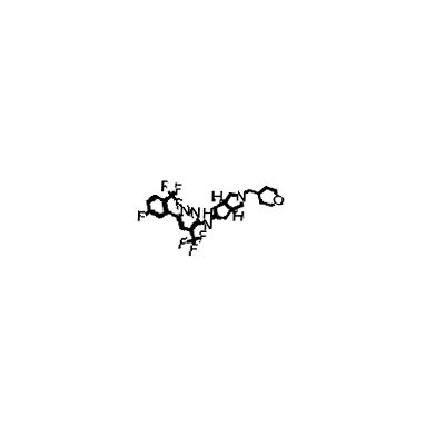 Fc1ccc(C(F)(F)F)c(-c2cc(C(F)(F)F)c(N[C@@H]3C[C@@H]4CN(CC5CCOCC5)C[C@@H]4C3)nn2)c1